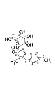 CCc1ccc(CC2=C(C)C(OC)C([C@@H]3O[C@H](CO)[C@@H](O)[C@H](O)[C@H]3O)S2)cc1